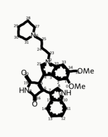 COc1cc2c(C3=C(c4c[nH]c5ccccc45)C(=O)NC3=O)cn(CCCN3CCCCC3)c2cc1OC